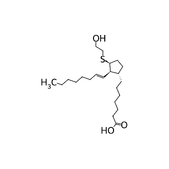 CCCCCCC=C[C@@H]1[C@@H](CCCCCCC(=O)O)CC[C@@H]1SCCO